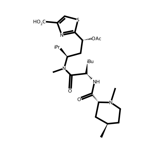 CC[C@H](C)[C@H](NC(=O)[C@H]1C[C@H](C)CCN1C)C(=O)N(C)[C@H](C[C@@H](OC(C)=O)c1nc(C(=O)O)cs1)C(C)C